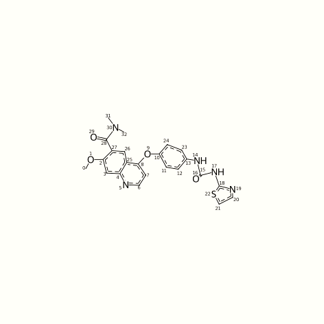 COc1cc2nccc(Oc3ccc(NC(=O)Nc4nccs4)cc3)c2cc1C(=O)N(C)C